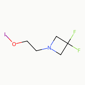 FC1(F)CN(CCOI)C1